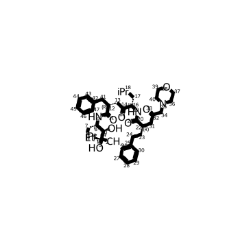 CC[C@@](C)(O)[C@H](O)[C@H](CC(C)C)NC(=O)[C@@H](CC(=O)[C@H](CC(C)C)NC(=O)[C@H](CCc1ccccc1)CC(=O)CN1CCOCC1)Cc1ccccc1